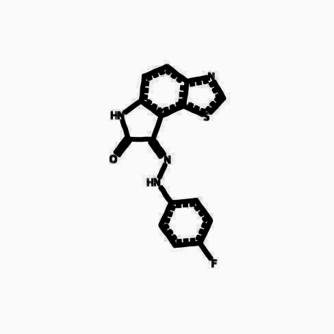 O=C1Nc2ccc3ncsc3c2/C1=N/Nc1ccc(F)cc1